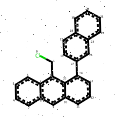 ClCc1c2ccccc2cc2cccc(-c3ccc4ccccc4c3)c12